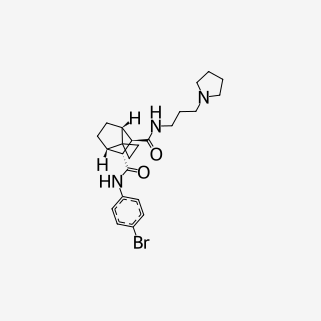 O=C(NCCCN1CCCC1)[C@H]1[C@H](C(=O)Nc2ccc(Br)cc2)[C@@H]2CC[C@H]1C21CC1